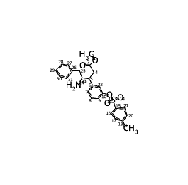 COC(=O)CC(c1cccc(OS(=O)(=O)c2ccc(C)cc2)c1)C(N)Cc1ccccc1